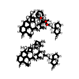 C#Cc1c(F)ccc2cc(O)cc(C(=O)c3nc4nc(OC[C@@]56CCCN5C[C@H](F)C6)nc(N5C[C@H]6C[C@@H](C5)N6)c4n3C3CCC3)c12.C#Cc1c(F)ccc2cc(OCOC)cc(C(=O)c3nc4nc(OC[C@@]56CCCN5C[C@H](F)C6)nc(N5CC6CC(C5)N6C(=O)OC(C)(C)C)c4n3C3CCC3)c12